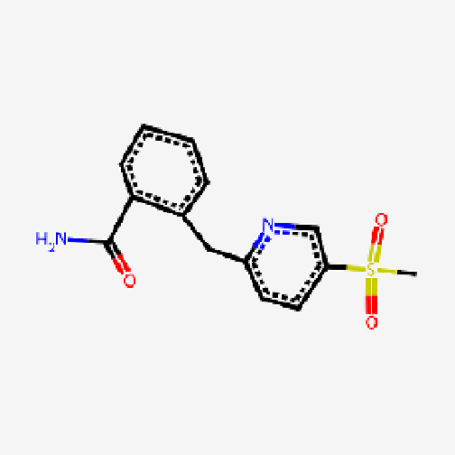 CS(=O)(=O)c1ccc(Cc2ccccc2C(N)=O)nc1